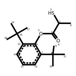 CC(S)C(=O)Oc1c(C(C)(C)C)cccc1C(C)(C)C